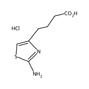 Cl.Nc1nc(CCCC(=O)O)cs1